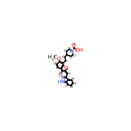 COc1c(F)cc2c(c1CCC1CCN(C(=O)O)CC1)OC(=Cc1n[nH]c3ccccc13)C2=O